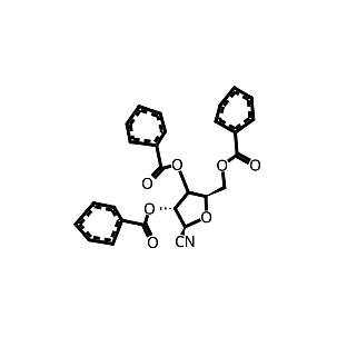 N#C[C@@H]1O[C@H](COC(=O)c2ccccc2)[C](OC(=O)c2ccccc2)[C@H]1OC(=O)c1ccccc1